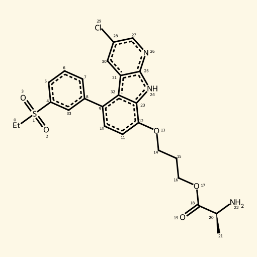 CCS(=O)(=O)c1cccc(-c2ccc(OCCCOC(=O)[C@H](C)N)c3[nH]c4ncc(Cl)cc4c23)c1